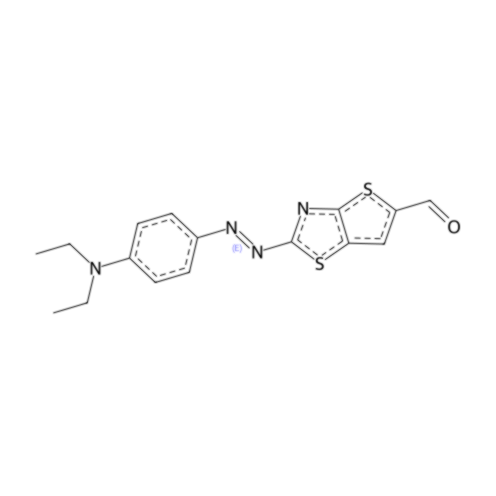 CCN(CC)c1ccc(/N=N/c2nc3sc(C=O)cc3s2)cc1